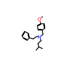 COc1ccc(CN(CCc2ccccc2)CCC(C)C)cc1